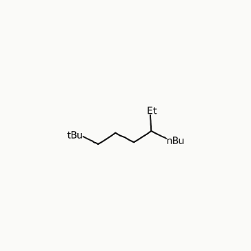 CCCCC(CC)CCCC(C)(C)C